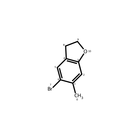 Cc1cc2c(cc1Br)CCO2